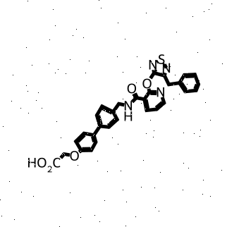 O=C(O)COc1ccc(-c2ccc(CNC(=O)c3cccnc3Oc3nsnc3Cc3ccccc3)cc2)cc1